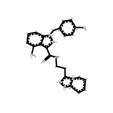 Cc1cccc2c1c(C(=O)NCCc1nnc3ccccn13)nn2Cc1ccc(Cl)cc1